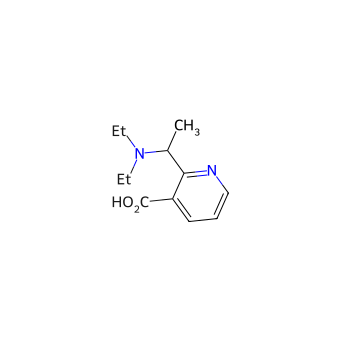 CCN(CC)C(C)c1ncccc1C(=O)O